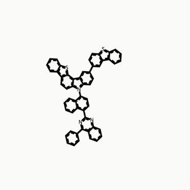 c1ccc(-c2nc(-c3ccc(-n4c5ccc(-c6ccc7sc8ccccc8c7c6)cc5c5c6sc7ccccc7c6ccc54)c4ccccc34)nc3ccccc23)cc1